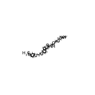 COc1ccc(OCCCOc2ccc3c(c2)CC[C@H]3CC(=O)NCCOCCOCCN=[N+]=[N-])cc1